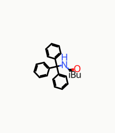 CCC(C)C(=O)NC(c1ccccc1)(c1ccccc1)c1ccccc1